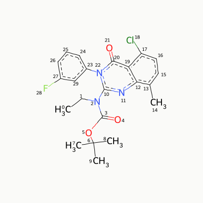 CCN(C(=O)OC(C)(C)C)c1nc2c(C)ccc(Cl)c2c(=O)n1-c1cccc(F)c1